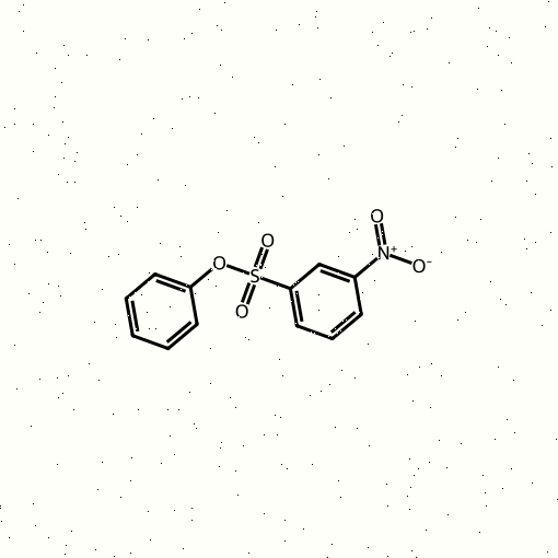 O=[N+]([O-])c1cccc(S(=O)(=O)Oc2ccccc2)c1